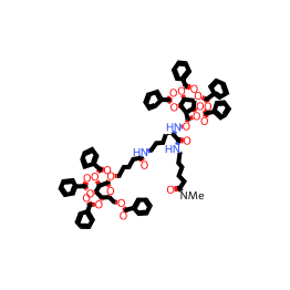 CNC(=O)CCCCCNC(=O)[C@H](CCCCNC(=O)CCCCOC1OC(COC(=O)c2ccccc2)C(OC(=O)c2ccccc2)C(OC(=O)c2ccccc2)C1OC(=O)c1ccccc1)NOC1OC2(OC(=O)c3ccccc3)C(OC(=O)c3ccccc3)C(OC(=O)c3ccccc3)C(OC(=O)c3ccccc3)C12